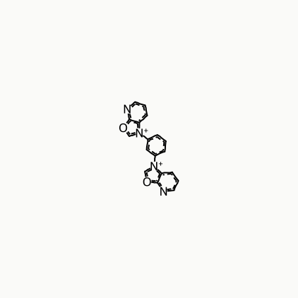 c1cc(-[n+]2coc3ncccc32)cc(-[n+]2coc3ncccc32)c1